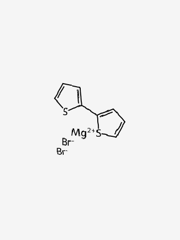 [Br-].[Br-].[Mg+2].c1csc(-c2cccs2)c1